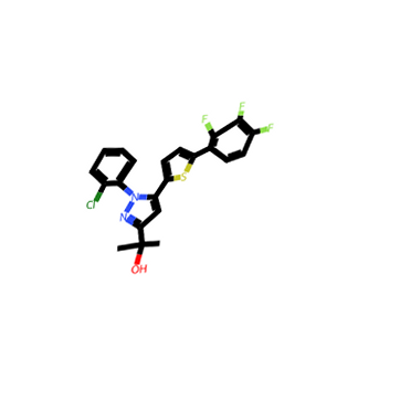 CC(C)(O)c1cc(-c2ccc(-c3ccc(F)c(F)c3F)s2)n(-c2ccccc2Cl)n1